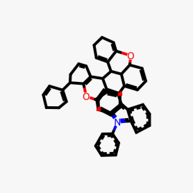 C1=CC2OC3=CCCC=C3C(C3C4=C(OC5=C3CCC=C5)C(C3=CCCC=C3)CC=C4)C2C(C2=CCCc3c2c2ccccc2n3-c2ccccc2)=C1